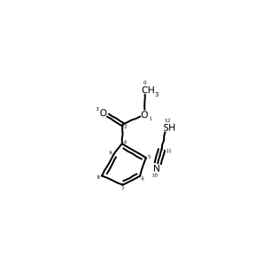 COC(=O)c1ccccc1.N#CS